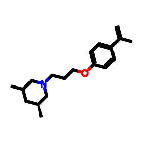 C=C(C)c1ccc(OCCCN2CC(C)C[C@H](C)C2)cc1